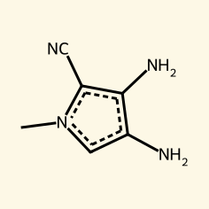 Cn1cc(N)c(N)c1C#N